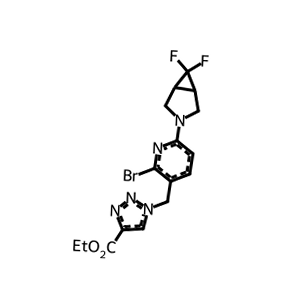 CCOC(=O)c1cn(Cc2ccc(N3CC4C(C3)C4(F)F)nc2Br)nn1